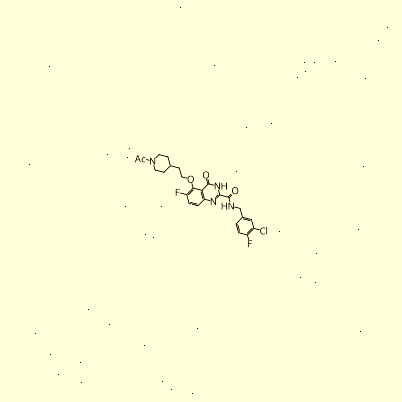 CC(=O)N1CCC(CCOc2c(F)ccc3nc(C(=O)NCc4ccc(F)c(Cl)c4)[nH]c(=O)c23)CC1